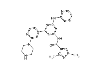 Cc1cc(C(=O)Nc2cc(Nc3cnccn3)nc(-c3ccnc(N4CCNCC4)c3)c2)n(C)n1